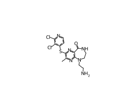 Cc1nc2c(nc1Sc1ccnc(Cl)c1Cl)C(=O)NCCN2CCN